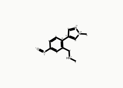 CNCc1cc(N=O)ccc1-c1cnn(C)c1